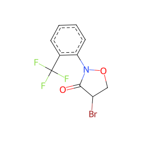 O=C1C(Br)CON1c1ccccc1C(F)(F)F